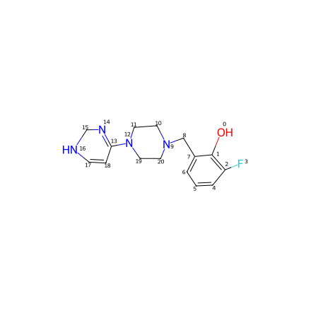 Oc1c(F)cccc1CN1CCN(C2=NCNC=C2)CC1